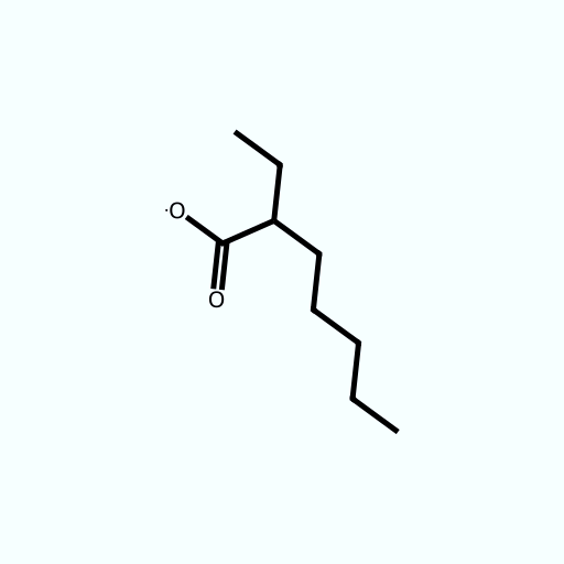 CCCCCC(CC)C([O])=O